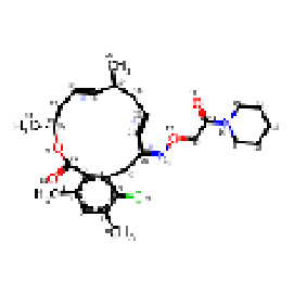 Cc1cc(C)c2c(c1Cl)CC(=N/OCC(=O)N1CCCCC1)/C=C/CC(C)/C=C/C[C@@H](C)OC2=O